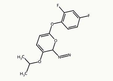 CC(C)OC1=CC=C(Oc2ccc(F)cc2F)OC1N=[N]